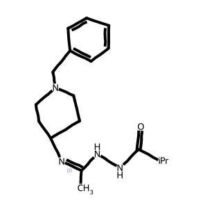 C/C(=N/C1CCN(Cc2ccccc2)CC1)NNC(=O)C(C)C